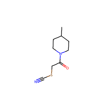 CC1CCN(C(=O)CSC#N)CC1